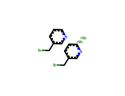 Br.Br.BrCc1cccnc1.BrCc1cccnc1